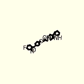 O[C@H](COc1ccc(-c2onc3cc(F)ccc23)cc1)CN1CCc2c([nH]c3ccccc23)C1